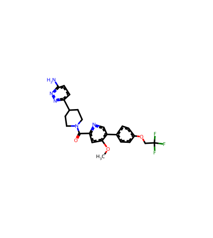 COc1cc(C(=O)N2CCC(c3ccc(N)nn3)CC2)ncc1-c1ccc(OCC(F)(F)F)cc1